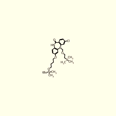 CC(C)(C)[Si](C)(C)OCCCCOc1ccc2c(c1)N(COCC[Si](C)(C)C)c1cc(Cl)ccc1C(=O)N2